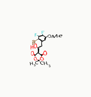 COc1cc(CC(O)=C2C(=O)OC(C)(C)OC2=O)c(Br)c(F)c1F